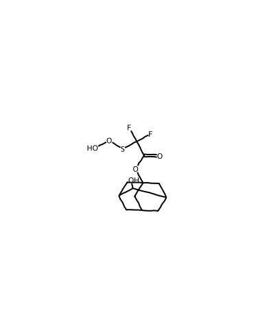 O=C(OC12CC3CC(C1)C(O)C(C3)C2)C(F)(F)SOO